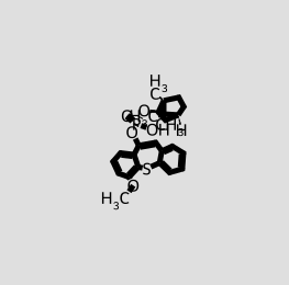 COc1cccc2c1Sc1ccccc1C=C2OP(=O)(O)O[C@@H]1C[C@@H]2CC[C@@]1(C)C2(C)C